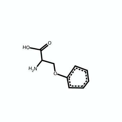 NC(COc1ccccc1)C(=O)O